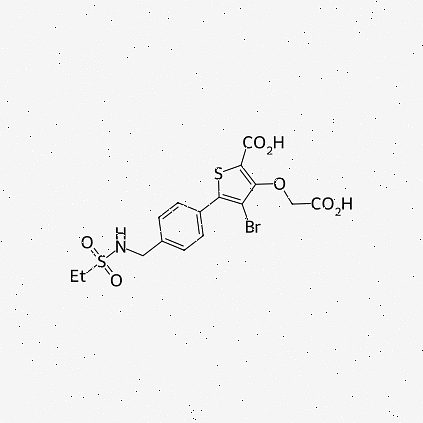 CCS(=O)(=O)NCc1ccc(-c2sc(C(=O)O)c(OCC(=O)O)c2Br)cc1